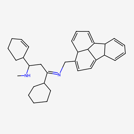 CNC(C/C(=N\CC1=CC=C2C3C=CC=CC3C3=CC=CC1C32)C1CCCCC1)C1C=CCCC1